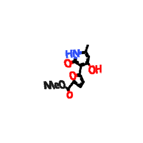 COC(=O)c1ccc(-c2c(O)cc(C)[nH]c2=O)o1